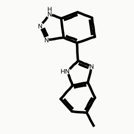 Cc1ccc2[nH]c(-c3cccc4[nH]nnc34)nc2c1